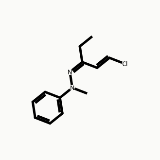 CCC(C=CCl)=NN(C)c1ccccc1